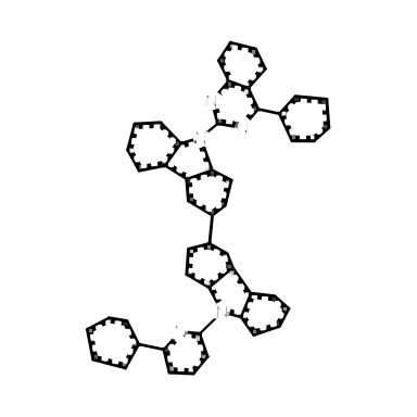 c1ccc(-c2cccc(-n3c4ccccc4c4cc(-c5ccc6c(c5)c5ccccc5n6-c5nc(-c6ccccc6)c6ccccc6n5)ccc43)n2)cc1